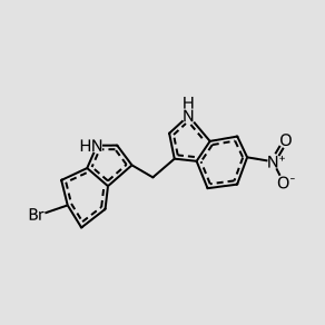 O=[N+]([O-])c1ccc2c(Cc3c[nH]c4cc(Br)ccc34)c[nH]c2c1